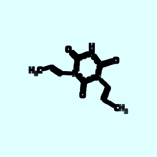 CC=Cn1c(=O)[nH]c(=O)n(C=CC)c1=O